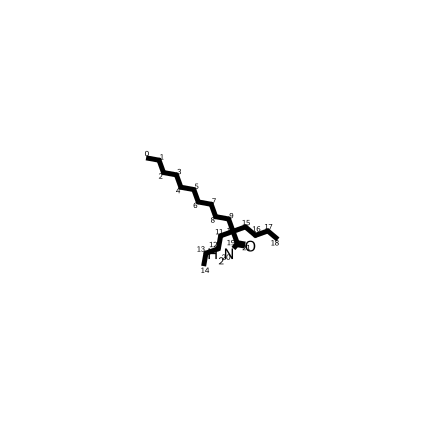 CCCCCCCCCCC(CCCC)(CCCC)C(N)=O